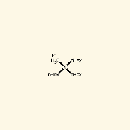 CCCCCC[N+](C)(CCCCCC)CCCCCC.[F-]